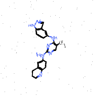 FC(F)(F)c1cnc(Nc2ccc3c(c2)CCC=N3)nc1Nc1ccc2[nH]ncc2c1